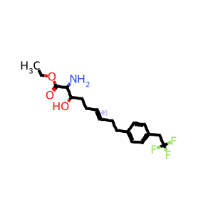 CCOC(=O)C(N)C(O)CC/C=C/CCc1ccc(CC(F)(F)F)cc1